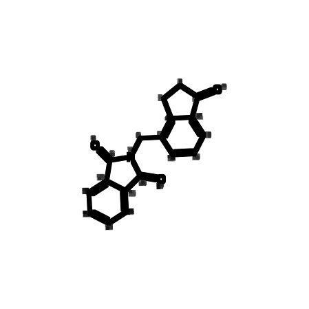 O=C1CCc2c(CN3C(=O)c4ccccc4C3=O)cccc21